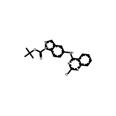 CC(C)(C)OC(=O)n1ncc2cc(Nc3nc(Cl)nc4ccccc34)ccc21